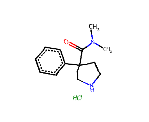 CN(C)C(=O)C1(c2ccccc2)CCNC1.Cl